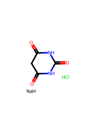 Cl.O=C1CC(=O)NC(=O)N1.[NaH]